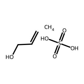 C.C=CCO.O=S(=O)(O)O